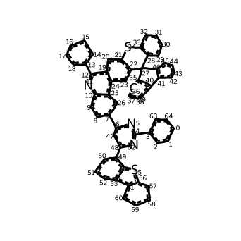 c1ccc(-c2nc(-c3ccc4nc(-c5ccccc5)c5cc6c(cc5c4c3)C3(c4ccccc4S6)c4ccccc4-c4ccccc43)cc(-c3cccc4c3sc3ccccc34)n2)cc1